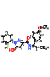 O=C(O)CC(NC(=O)c1cc(O)n(-c2ccccc2F)n1)c1ccc(OC(F)(F)F)cc1